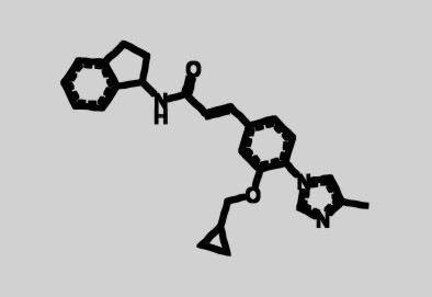 Cc1cn(-c2ccc(C=CC(=O)NC3CCc4ccccc43)cc2OCC2CC2)cn1